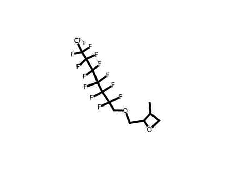 CC1COC1COCC(F)(F)C(F)(F)C(F)(F)C(F)(F)C(F)(F)C(F)(F)C(F)(F)F